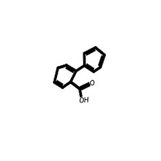 O=C(O)C1C=CCC=C1c1ccccc1